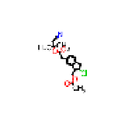 CC(=O)OCC1=C(Cl)Cc2ccc(CC(=O)OC(C)(C)CC#N)cc21